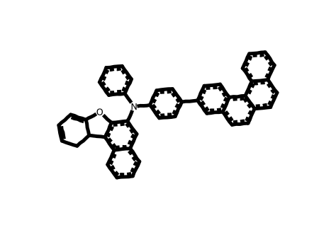 C1=CCC2C(=C1)Oc1c(N(c3ccccc3)c3ccc(-c4ccc5c(ccc6ccc7ccccc7c65)c4)cc3)cc3ccccc3c12